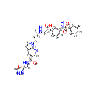 CC(C)(CCn1ccc2cc(C(=O)NCc3nnco3)cnc21)NC[C@H](O)c1cccc(NS(=O)(=O)c2ccccc2)c1